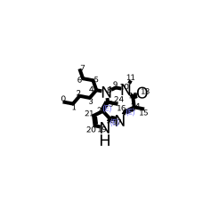 CCCCC(CCC)N1CN(C)C(=O)/C(C)=C/N=c2/[nH]cc/c2=C\1C